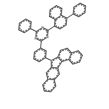 c1ccc(-c2nc(-c3cccc(-n4c5cc6ccccc6cc5c5c6ccccc6ccc54)c3)nc(-c3ccc(-c4ccccc4)c4ccccc34)n2)cc1